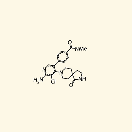 CNC(=O)c1ccc(-c2cnc(N)c(Cl)c2N2CCC3(CCNC3=O)CC2)cc1